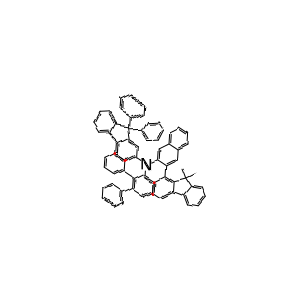 CC1(C)c2ccccc2-c2cccc(-c3cc4ccccc4cc3N(c3ccc4c(c3)C(c3ccccc3)(c3ccccc3)c3ccccc3-4)c3cccc(-c4ccccc4)c3-c3ccccc3)c21